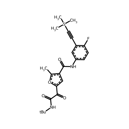 Cc1oc(C(=O)C(=O)NC(C)(C)C)cc1C(=O)Nc1ccc(F)c(C#CS(C)(C)C)c1